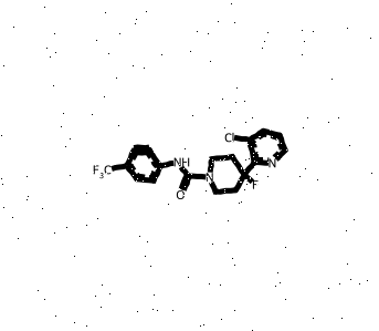 O=C(Nc1c#cc(C(F)(F)F)cc1)N1CCC(F)(c2ncccc2Cl)CC1